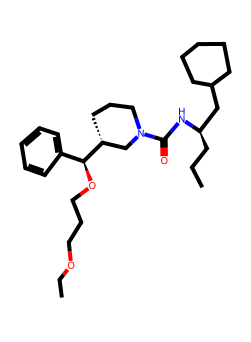 CCC[C@H](CC1CCCCC1)NC(=O)N1CCC[C@@H]([C@@H](OCCCOCC)c2ccccc2)C1